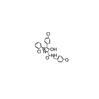 COc1ccc(CNC(=O)c2nn(-c3ccccc3Cl)c(-c3ccc(Cl)cc3)c2O)cc1